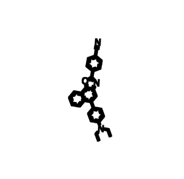 CCN(CC)c1ccc(-c2cc3nc(-c4ccc(C#N)cc4)oc3c3ccccc23)cc1